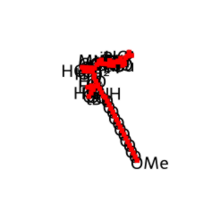 CC[C@H](C)[C@@H]([C@@H](CC(=O)N1CCC[C@H]1[C@H](OC)[C@@H](C)C(=O)N[C@H](C)[C@@H](O)c1ccccc1)OC)N(C)C(=O)[C@@H](NC(=O)[C@H](C(C)C)N(C)C(=O)OCc1ccc(O[C@@H]2OC(C(=O)O)=C[C@H](O)[C@H]2O)c(NC(=O)CCNC(=O)[C@H](CCCCNC(=O)CCOCCOCCOCCOCCOCCOCCOCCOCCOCCOCCOCCOC)NC(=O)[C@H](CNC(=O)OC(C)(C)C)N2C(=O)C=CC2=O)c1)C(C)C